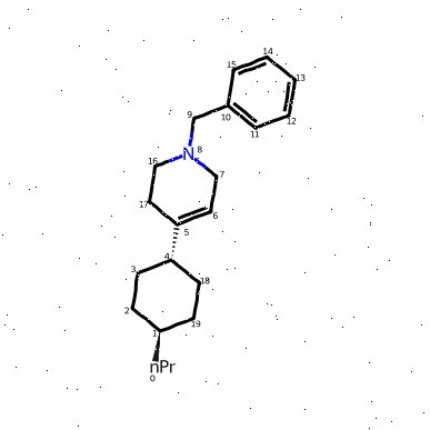 CCC[C@H]1CC[C@H](C2=CCN(Cc3ccccc3)CC2)CC1